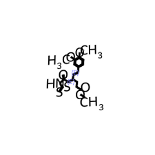 CCOC(=O)CCC(/C=C/c1ccc(OC)c(OC)c1)=C1\SC(=S)NC1=O